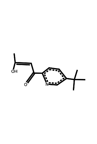 C/C(O)=C/C(=O)c1ccc(C(C)(C)C)cn1